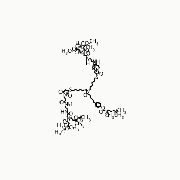 CCOC(C)(C)CCN(CC(=O)NCCNC(=O)CCN1C(=O)CC(SCCCCCCN(CCCCCCSC2CC(=O)N(CCC(=O)NCCNC(=O)CN(CCC(C)(C)OCC)C(=O)CC(C)(C)OCC)C2=O)C(=O)CCCCc2ccc(OC(=O)N(C)CCCN(C)C)cc2)C1=O)C(=O)CC(C)(C)OCC